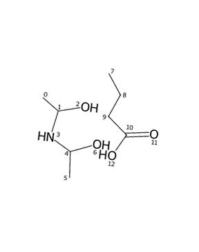 CC(O)NC(C)O.CCCC(=O)O